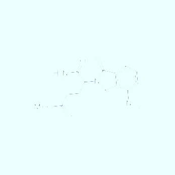 COC(=O)CCC(C(N)=O)N1Cc2c(N)cccc2C1=O